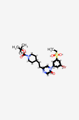 CCS(=O)(=O)c1cc(Br)cc(-n2cc(CCC3CCN(C(=O)OC(C)(C)C)CC3)ncc2=O)c1